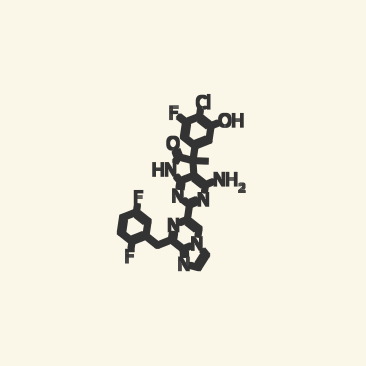 CC1(c2cc(O)c(Cl)c(F)c2)C(=O)Nc2nc(-c3cn4ccnc4c(Cc4cc(F)ccc4F)n3)nc(N)c21